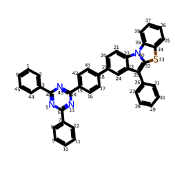 c1ccc(-c2nc(-c3ccccc3)nc(-c3ccc(-c4ccc5c(c4)c(-c4ccccc4)c4sc6ccccc6n45)cc3)n2)cc1